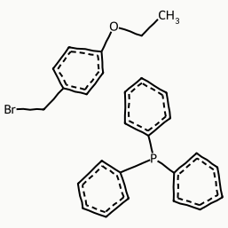 CCOc1ccc(CBr)cc1.c1ccc(P(c2ccccc2)c2ccccc2)cc1